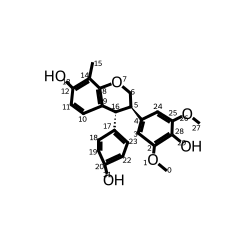 COc1cc([C@@H]2COc3c(ccc(O)c3C)[C@H]2c2ccc(O)cc2)cc(OC)c1O